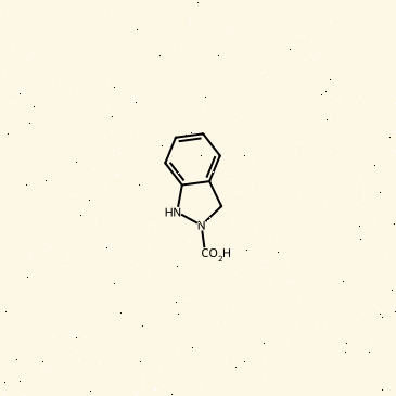 O=C(O)N1Cc2ccccc2N1